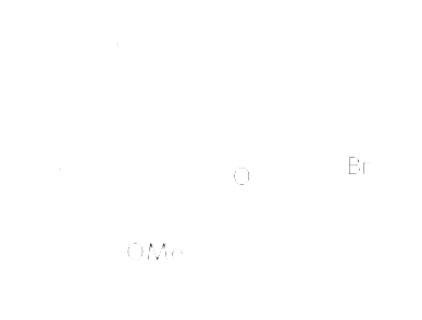 COc1ccccc1OCBr